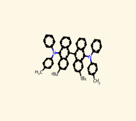 Cc1ccc(N(c2ccccc2)c2c3ccccc3c(-c3c4ccccc4c(N(c4ccccc4)c4ccc(C)cc4)c4cc(C(C)(C)C)ccc34)c3ccc(C(C)(C)C)cc23)cc1